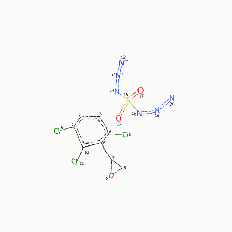 Clc1ccc(Cl)c(C2CO2)c1Cl.[N-]=[N+]=NS(=O)(=O)N=[N+]=[N-]